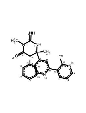 CN1C(=N)N[C@](C)(c2ccnc(-c3cccnc3F)c2)[C@H](c2ccccc2)C1=O